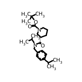 CC(C)c1ccc(CN(C(=O)[C@H]2CCCN(C(=O)OC(C)(C)C)C2)C(C)C)cc1